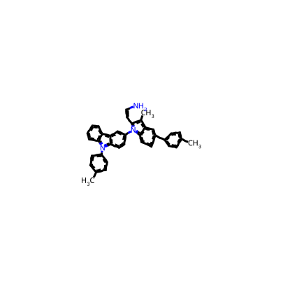 Cc1ccc(-c2ccc3c(c2)c(C)c(/C=C\N)n3-c2ccc3c(c2)c2ccccc2n3-c2ccc(C)cc2)cc1